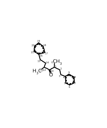 CC(CCc1ccccc1)C(=O)C(C)CCc1ccccc1